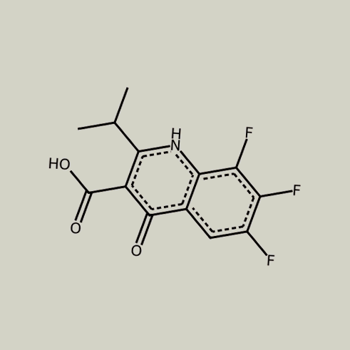 CC(C)c1[nH]c2c(F)c(F)c(F)cc2c(=O)c1C(=O)O